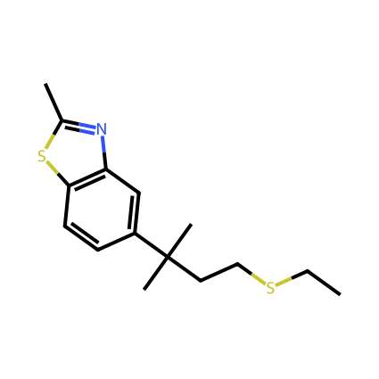 CCSCCC(C)(C)c1ccc2sc(C)nc2c1